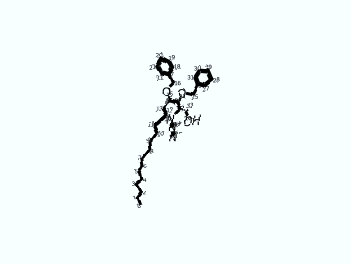 CCCCCCCCCCCC=CC[C@@H](OCc1ccccc1)[C@@H](OCc1ccccc1)[C@H](CO)N=[N+]=[N-]